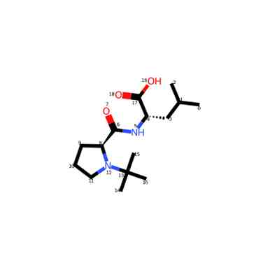 CC(C)C[C@H](NC(=O)[C@@H]1CCCN1C(C)(C)C)C(=O)O